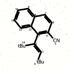 CC(C)(C)/C=C(/c1c(C#N)ccc2ccccc12)C(C)(C)C